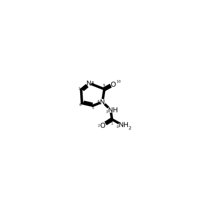 NC(=O)Nn1cccnc1=O